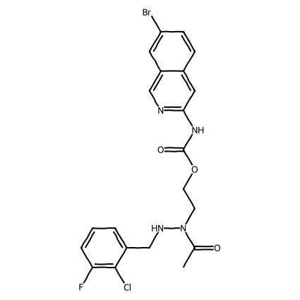 CC(=O)N(CCOC(=O)Nc1cc2ccc(Br)cc2cn1)NCc1cccc(F)c1Cl